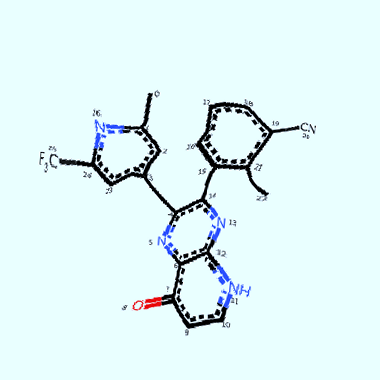 Cc1cc(-c2nc3c(=O)cc[nH]c3nc2-c2cccc(C#N)c2C)cc(C(F)(F)F)n1